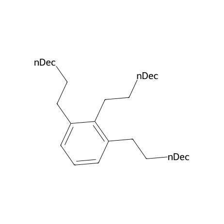 CCCCCCCCCCCCc1cccc(CCCCCCCCCCCC)c1CCCCCCCCCCCC